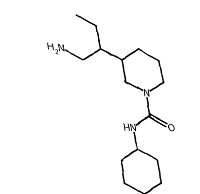 CCC(CN)C1CCCN(C(=O)NC2CCCCC2)C1